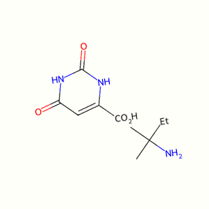 CCC(C)(C)N.O=C(O)c1cc(=O)[nH]c(=O)[nH]1